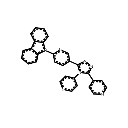 c1ccc2c(c1)c1ccccc1n2-c1ccc(-c2nnc(-c3ccncc3)n2-c2ccncc2)cn1